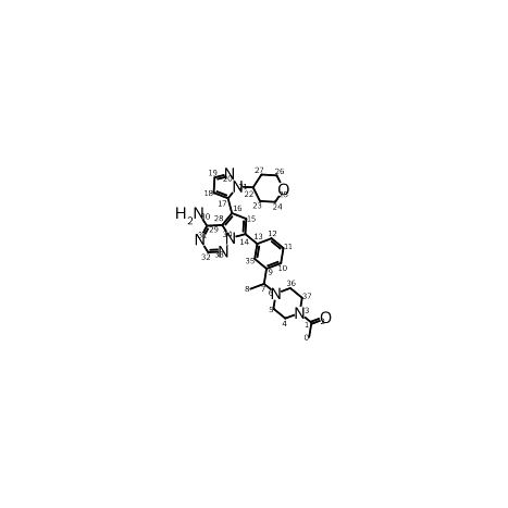 CC(=O)N1CCN(C(C)c2cccc(-c3cc(-c4ccnn4C4CCOCC4)c4c(N)ncnn34)c2)CC1